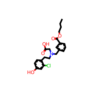 CCCCOC(=O)c1cccc(CN(CCc2ccc(O)cc2Cl)CC(=O)O)c1